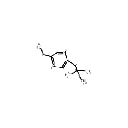 CC(C)(C)Cc1cnc(CO)cn1